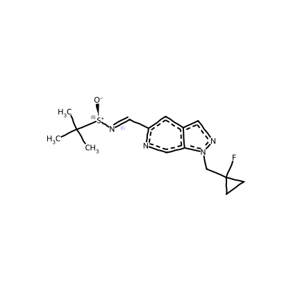 CC(C)(C)[S@@+]([O-])/N=C/c1cc2cnn(CC3(F)CC3)c2cn1